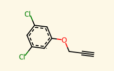 C#CCOc1[c]c(Cl)cc(Cl)c1